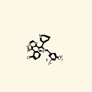 FC(F)(F)c1cc(Cn2nnc(-c3nccn4nnc(-c5ccccc5Cl)c34)c2-c2cccnc2)cc(C(F)(F)F)c1